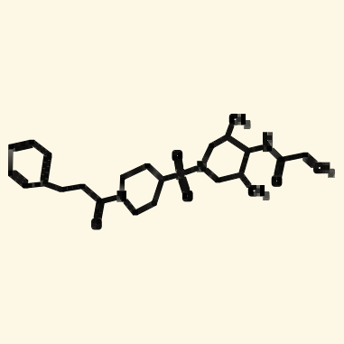 C=CC(=O)NC1C(C)CN(S(=O)(=O)C2CCN(C(=O)CCc3ccccc3)CC2)CC1C